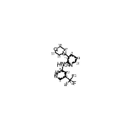 FC(F)(F)c1cnnc(Nc2ncccc2N2CCOCC2)c1